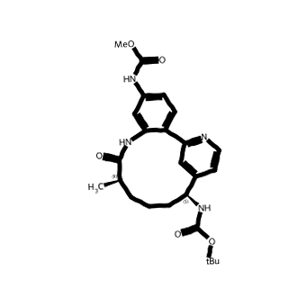 COC(=O)Nc1ccc2c(c1)NC(=O)[C@H](C)CCC[C@H](NC(=O)OC(C)(C)C)c1ccnc-2c1